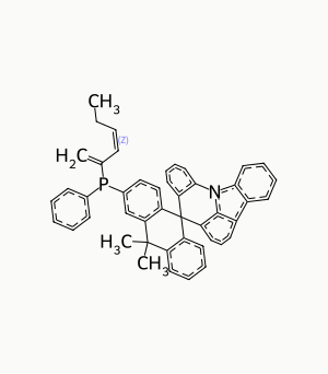 C=C(/C=C\CC)P(c1ccccc1)c1ccc2c(c1)C(C)(C)c1ccccc1C21c2ccccc2-n2c3ccccc3c3cccc1c32